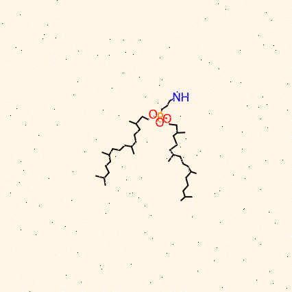 CNCCCP(=O)(OCCC(C)CCCC(C)CCCC(C)CCCC(C)C)OCCC(C)CCCC(C)CCCC(C)CCCC(C)C